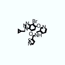 O=C(NCc1cccnc1Oc1ccc2c(nnn2CC2CC2)c1Br)c1ccns1